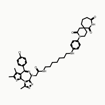 Cc1sc2c(c1C)C(c1ccc(Cl)cc1)=N[C@@H](CC(=O)NCCCCCCCNc1ccc(N3CCC4(CCCC(=O)NC4=O)CC3=O)cc1)c1nnc(C)n1-2